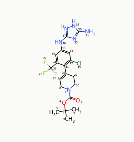 CC(C)(C)OC(=O)N1CC=C(c2c(Cl)cc(Nc3n[nH]c(N)n3)cc2C(F)(F)F)CC1